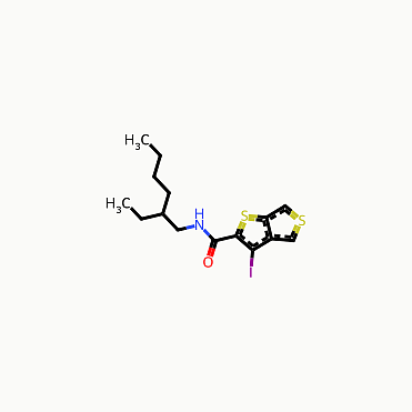 CCCCC(CC)CNC(=O)c1sc2cscc2c1I